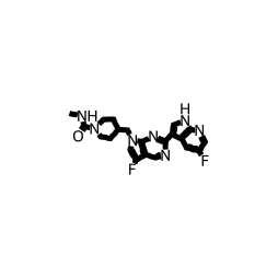 CNC(=O)N1CCC(Cn2cc(F)c3cnc(-c4c[nH]c5ncc(F)cc45)nc32)CC1